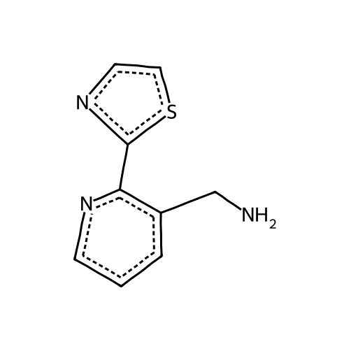 NCc1cccnc1-c1nccs1